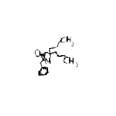 CCCCC1(CCCC)CN2CCC1C(=O)C2Cc1ccccc1